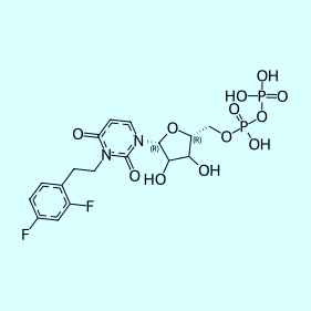 O=c1ccn([C@@H]2O[C@H](COP(=O)(O)OP(=O)(O)O)C(O)C2O)c(=O)n1CCc1ccc(F)cc1F